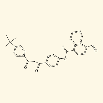 CC(C)(C)c1ccc(C(=O)CC(=O)c2ccc(OC(=O)c3ccc(C=O)c4ccccc34)cc2)cc1